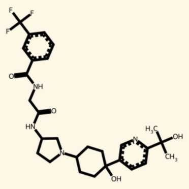 CC(C)(O)c1ccc(C2(O)CCC(N3CCC(NC(=O)CNC(=O)c4cccc(C(F)(F)F)c4)C3)CC2)cn1